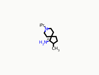 CC1CCC2(CCN(C(C)C)CC2)[C@@H]1N